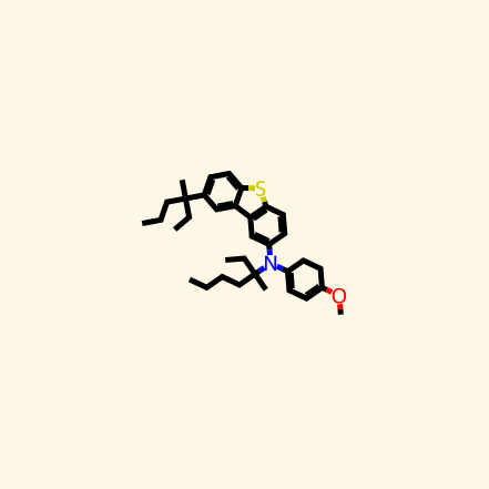 CCCCC(C)(CC)N(C1=CC=C(OC)CC1)c1ccc2sc3ccc(C(C)(CC)CCC)cc3c2c1